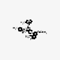 C=C1CN2CCCC2(COc2nc3c(c(OS(=O)(=O)c4ccc(C)cc4)n2)CCN(c2cc(OCOC)cc4ccc(F)c(CC)c24)C3)C1